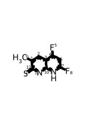 Cc1cc2c(F)cc(F)[nH]c-2nc1=S